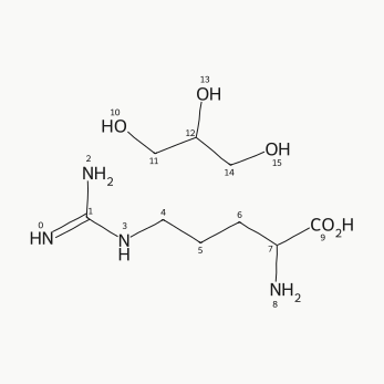 N=C(N)NCCCC(N)C(=O)O.OCC(O)CO